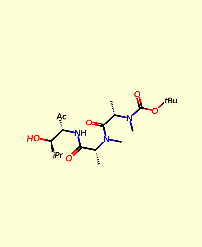 CC(=O)[C@H](NC(=O)[C@@H](C)N(C)C(=O)[C@H](C)N(C)C(=O)OC(C)(C)C)[C@H](O)C(C)C